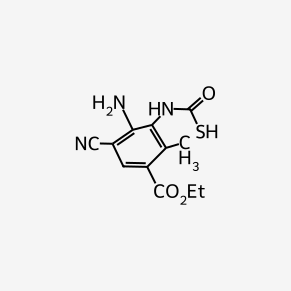 CCOC(=O)c1cc(C#N)c(N)c(NC(=O)S)c1C